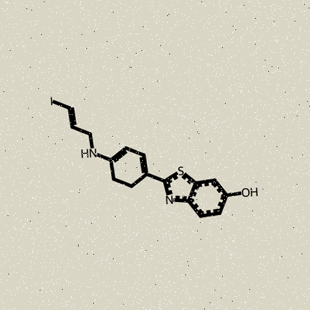 Oc1ccc2nc(C3=CC=C(NC/C=C/I)CC3)sc2c1